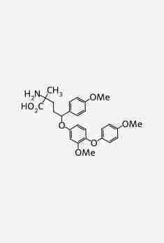 COc1ccc(Oc2ccc(OC(CCC(C)(N)C(=O)O)c3ccc(OC)cc3)cc2OC)cc1